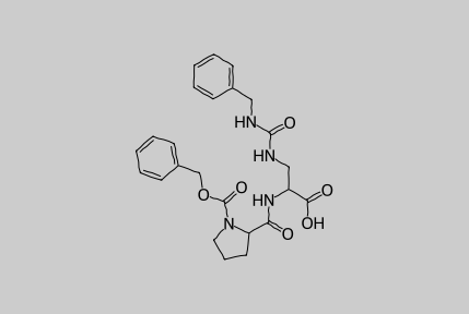 O=C(NCc1ccccc1)NCC(NC(=O)C1CCCN1C(=O)OCc1ccccc1)C(=O)O